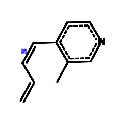 C=C/C=C\c1ccncc1C